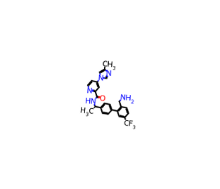 Cc1cn(-c2ccnc(C(=O)N[C@H](C)c3ccc(-c4cc(C(F)(F)F)ccc4CN)cc3)c2)cn1